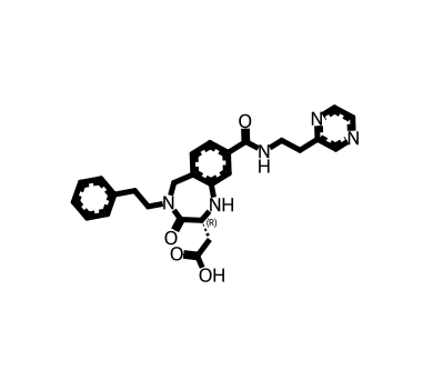 O=C(O)C[C@H]1Nc2cc(C(=O)NCCc3cnccn3)ccc2CN(CCc2ccccc2)C1=O